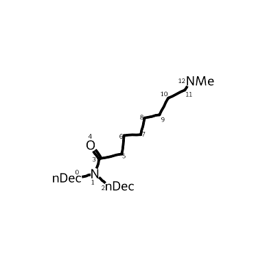 CCCCCCCCCCN(CCCCCCCCCC)C(=O)CCCCCCCNC